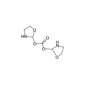 O=C(OC1NCCO1)OC1NCCO1